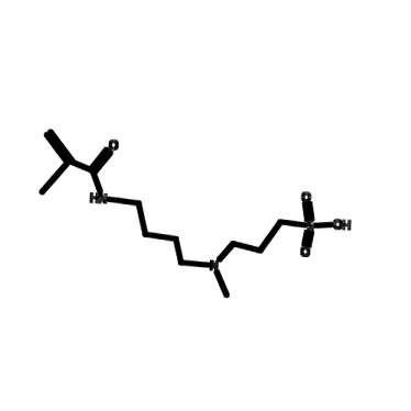 C=C(C)C(=O)NCCCCN(C)CCCS(=O)(=O)O